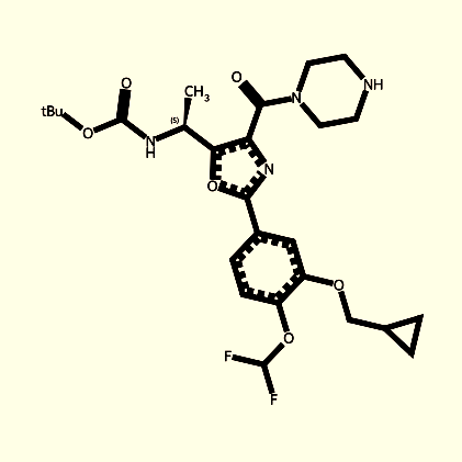 C[C@H](NC(=O)OC(C)(C)C)c1oc(-c2ccc(OC(F)F)c(OCC3CC3)c2)nc1C(=O)N1CCNCC1